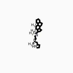 C/C(=N\CCON(C)CC1CCCN1)C1CCC2C3CCC4CCCCC4(C)C3CCC12C